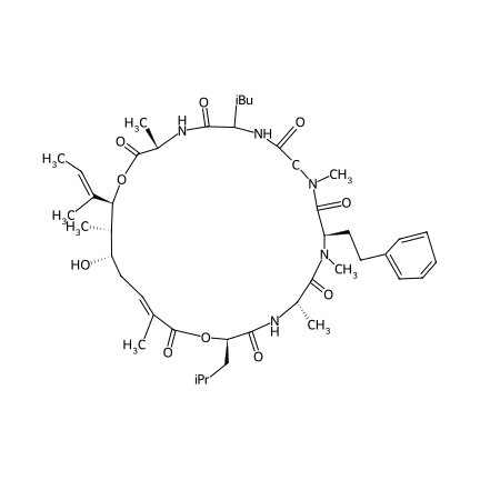 C/C=C(\C)[C@H]1OC(=O)[C@@H](C)NC(=O)C(C(C)CC)NC(=O)CN(C)C(=O)[C@@H](CCc2ccccc2)N(C)C(=O)[C@H](C)NC(=O)[C@@H](CC(C)C)OC(=O)/C(C)=C/C[C@H](O)[C@@H]1C